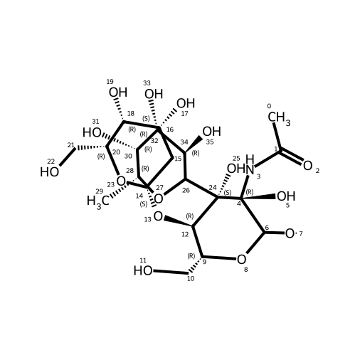 CC(=O)N[C@]1(O)C([O])O[C@H](CO)[C@@H](O[C@H]2C[C@@H](O)[C@@H](O)[C@@H](CO)O2)[C@@]1(O)C1O[C@H](C)[C@H](O)[C@H](O)[C@H]1O